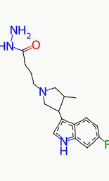 CC1CN(CCCC(=O)NN)CC1c1c[nH]c2cc(F)ccc12